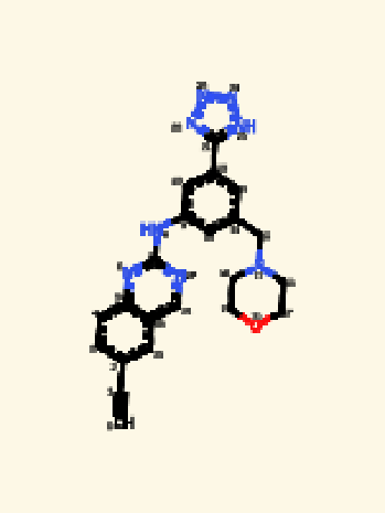 C#Cc1ccc2nc(Nc3cc(CN4CCOCC4)cc(-c4nnn[nH]4)c3)ncc2c1